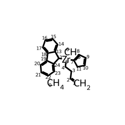 C.C=CC[CH2][Zr]([CH3])([C]1=CC=CC1)[CH]1c2ccccc2-c2ccccc21